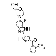 O=C(c1c[nH]c(-c2nc3ccc(N4CCO[C@H](CO)C4)c(F)c3[nH]2)c1)c1ccccc1C(F)(F)F